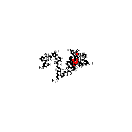 NCCCC[C@H](NC(=O)CNC(=O)[C@@H]1CCCN1C(=O)[C@@H]1C[C@@H](O)CN1C(=O)CNC(=O)[C@@H]1CCCN1C(=O)[C@@H]1C[C@@H](O)CN1)C(=O)N1CCC[C@H]1C(=O)NCC(=O)N1C[C@H](O)C[C@H]1C(=O)N1CCC[C@H]1C(=O)NCC(=O)N1C[C@H](O)C[C@H]1C(=O)N1CCC[C@H]1C(=O)NCC(=O)N1C[C@H](O)C[C@H]1C(=O)N1CCC[C@H]1C(=O)NCC(=O)N1C[C@H](O)C[C@H]1C(=O)N1CCC[C@H]1C(=O)NCC(=O)O